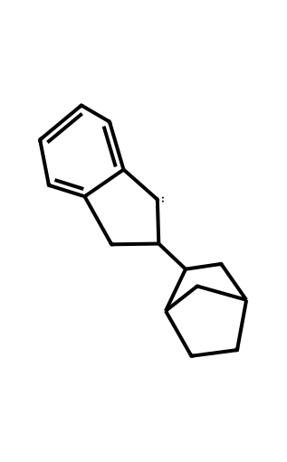 [C]1c2ccccc2CC1C1CC2CCC1C2